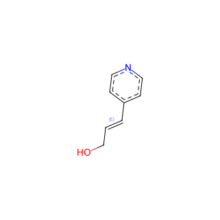 OC/C=C/c1ccncc1